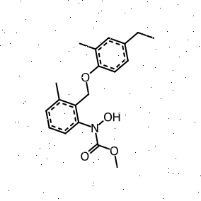 CCc1ccc(OCc2c(C)cccc2N(O)C(=O)OC)c(C)c1